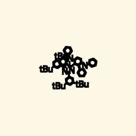 CC(C)(C)c1cc(-c2nc(-c3cc(C(C)(C)C)cc(C(C)(C)C)c3)nc(-c3c(-n4c5ccccc5c5ccccc54)ccc4c3c3ccccc3n4-c3ccccc3)n2)cc(C(C)(C)C)c1